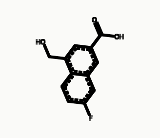 O=C(O)c1cc(CO)c2ccc(F)cc2c1